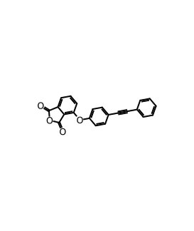 O=C1OC(=O)c2c(Oc3ccc(C#Cc4ccccc4)cc3)cccc21